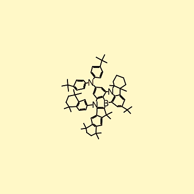 CC(C)(C)c1ccc(N(c2ccc(C(C)(C)C)cc2)c2cc3c4c(c2)N2c5c(cc(C(C)(C)C)cc5C5(C)CCCCC25C)B4C2=C(c4cc5c(cc4C2(C)C)C(C)(C)CCC5(C)C)N3c2ccc3c(c2)C(C)(C)CCC3(C)C)cc1